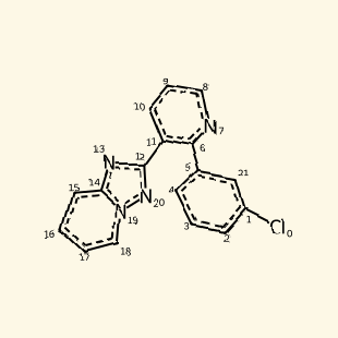 Clc1cccc(-c2ncccc2-c2nc3ccccn3n2)c1